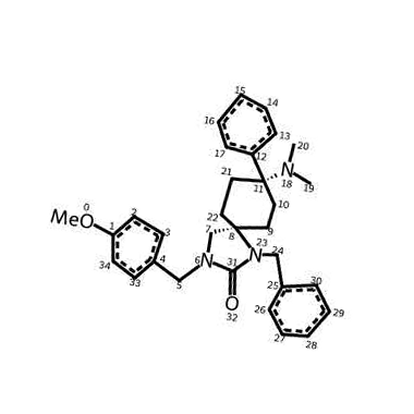 COc1ccc(CN2C[C@]3(CC[C@@](c4ccccc4)(N(C)C)CC3)N(Cc3ccccc3)C2=O)cc1